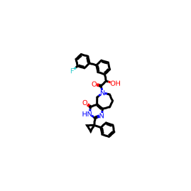 O=C(C(O)c1cccc(-c2cccc(F)c2)c1)N1CCCc2nc(C3(c4ccccc4)CC3)[nH]c(=O)c2C1